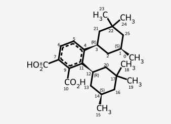 C[C@H]1C[C@@H](c2ccc(C(=O)O)c(C(=O)O)c2[C@@H]2C[C@H](C)CC(C)(C)C2)CC(C)(C)C1